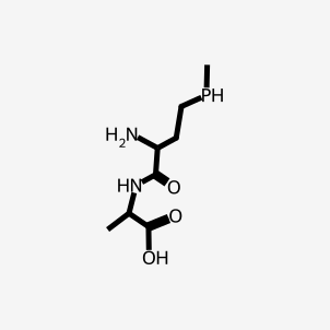 CPCCC(N)C(=O)NC(C)C(=O)O